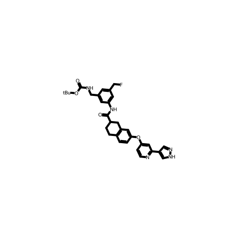 CC(C)(C)OC(=O)NCc1cc(CF)cc(NC(=O)C2CCc3ccc(Oc4ccnc(-c5cn[nH]c5)c4)cc3C2)c1